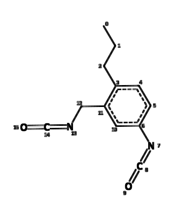 CCCc1ccc(N=C=O)cc1CN=C=O